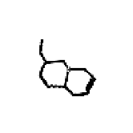 CCC1CCC2CC=CCN2C1